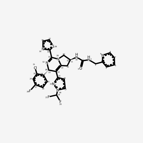 O=C(NCc1ccccn1)N[C@H]1CC2=C(c3ccn(C(F)F)n3)[C@H](c3ccc(F)cc3Cl)N=C(c3nccs3)N2C1